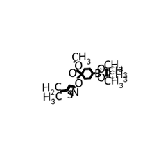 C=C(C)c1cc(OCC2(C(=O)OCC)CCC(B3OC(C)(C)C(C)(C)O3)CC2)ns1